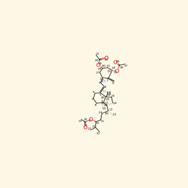 C=C1/C(=C\C=C2/CCC[C@]3(C)[C@@H]([C@H](C)CCC(OC(C)=O)C(C)C)CC[C@@H]23)C[C@@H](OC(C)=O)C[C@@H]1OC(C)=O